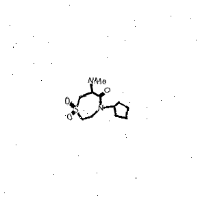 CNC1CS(=O)(=O)CCN(C2CCCC2)C1=O